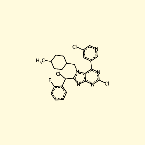 CC1CCC(Cn2c(C(Cl)c3ccccc3F)nc3nc(Cl)nc(-c4cncc(Cl)c4)c32)CC1